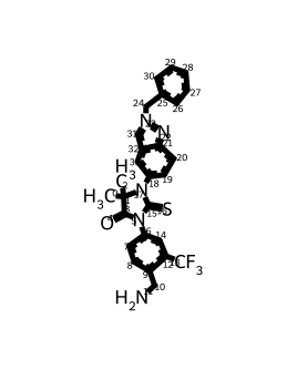 CC1(C)C(=O)N(c2ccc(CN)c(C(F)(F)F)c2)C(=S)N1c1ccc2nn(Cc3ccccc3)cc2c1